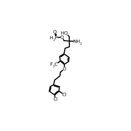 NC(CO)(CCc1ccc(OCCCc2ccc(Cl)c(Cl)c2)c(C(F)(F)F)c1)CO[PH2]=O